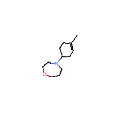 CC1=CCC(N2CCCOCC2)CC1